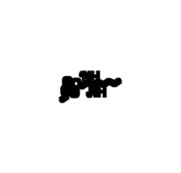 CCCCCC(NC)C(COS(=O)(=O)OCC)NC